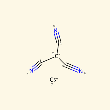 N#C[C-](C#N)C#N.[Cs+]